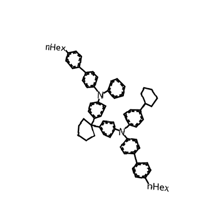 CCCCCCc1ccc(-c2ccc(N(c3ccccc3)c3ccc(C4(c5ccc(N(c6ccc(-c7ccc(CCCCCC)cc7)cc6)c6ccc(C7CCCCC7)cc6)cc5)CCCCC4)cc3)cc2)cc1